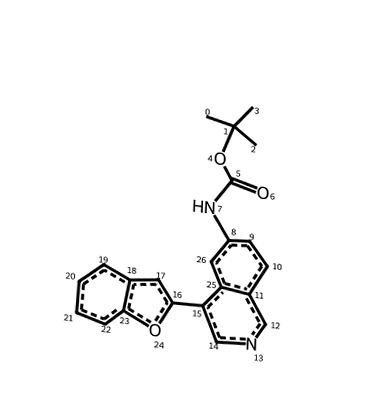 CC(C)(C)OC(=O)Nc1ccc2cncc(-c3cc4ccccc4o3)c2c1